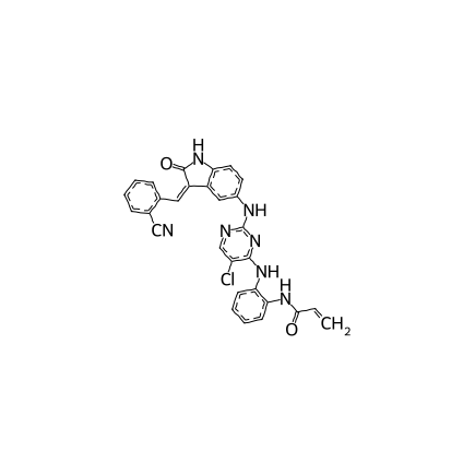 C=CC(=O)Nc1ccccc1Nc1nc(Nc2ccc3c(c2)/C(=C/c2ccccc2C#N)C(=O)N3)ncc1Cl